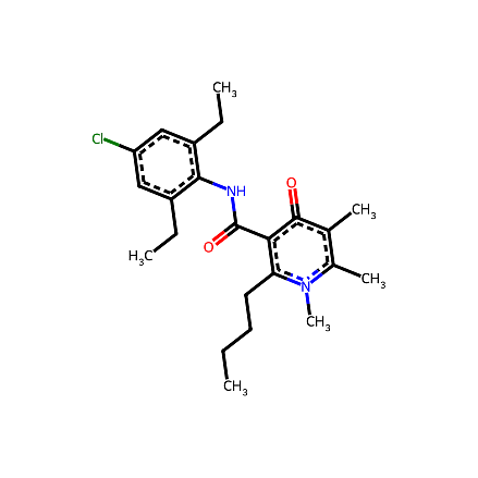 CCCCc1c(C(=O)Nc2c(CC)cc(Cl)cc2CC)c(=O)c(C)c(C)n1C